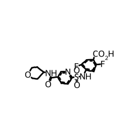 O=C(NC1CCOCC1)c1ccc(S(=O)(=O)Nc2cc(F)c(C(=O)O)cc2F)nc1